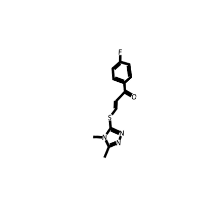 Cc1nnc(S/C=C/C(=O)c2ccc(F)cc2)n1C